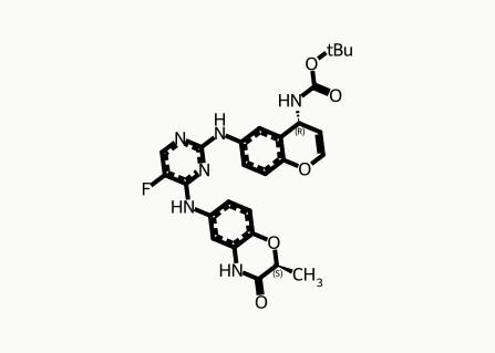 C[C@@H]1Oc2ccc(Nc3nc(Nc4ccc5c(c4)[C@H](NC(=O)OC(C)(C)C)C=CO5)ncc3F)cc2NC1=O